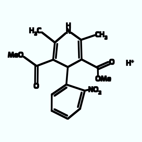 COC(=O)C1=C(C)NC(C)=C(C(=O)OC)C1c1ccccc1[N+](=O)[O-].[H+]